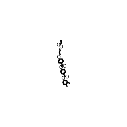 C=CC(=O)OCCCCOc1ccc(C(=O)Oc2ccc(C(=O)Oc3ccc(C)c(C)c3)cc2)cc1